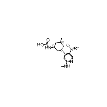 CNc1cc(N2C[C@H](C)C[C@H](NC(=O)O)C2)c([N+](=O)[O-])cn1